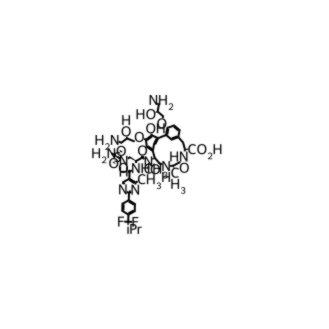 Cc1nc(-c2ccc(C(F)(F)C(C)C)cc2)ncc1C(=O)N[C@@H](CNS(N)(=O)=O)C(=O)N(C)[C@@H]1C(=O)N[C@@H](C)C(=O)N[C@H](C(=O)O)Cc2ccc(OC[C@H](O)CN)c(c2)-c2cc1cc(OC[C@H](O)CN)c2O